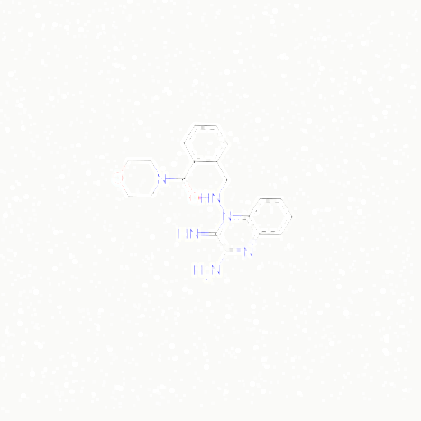 N=c1c(N)nc2ccccc2n1NCc1ccccc1C(=O)N1CCOCC1